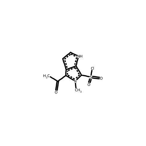 CC(=O)c1c2cc[nH]c2c(S(=O)(=O)Cl)n1C